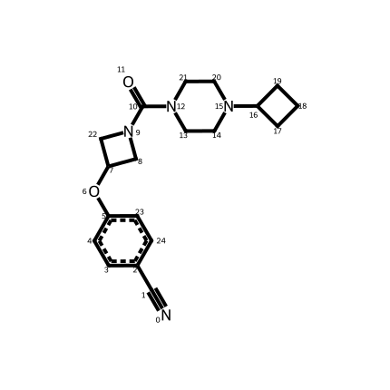 N#Cc1ccc(OC2CN(C(=O)N3CCN(C4CCC4)CC3)C2)cc1